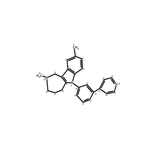 Cc1ccc2c(c1)c1c(n2-c2cccc(-c3ccncc3)c2)CCCN(C)C1